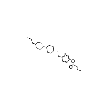 CCCC(=O)Oc1ccc(CC[C@H]2CC[C@H]([C@H]3CC[C@H](CCC)CC3)CC2)nc1